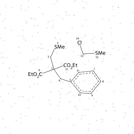 CCOC(=O)C(CSC)(Cc1ccccc1)C(=O)OCC.CSCCl